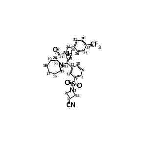 N#CC1CN(S(=O)(=O)c2cccc(C(=O)N3CCCCC[C@@H]3C(=O)NCc3ccc(C(F)(F)F)cc3)c2)C1